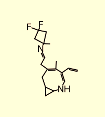 C=CC1=C/NC2CC2C/C(C/C=N/C2(C)CC(F)(F)C2)=C\1C